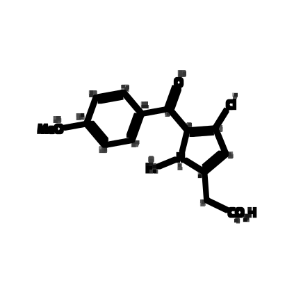 CCn1c(CC(=O)O)cc(Cl)c1C(=O)c1ccc(OC)cc1